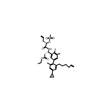 C=CCCCCc1cc(C2CC2)cc(C)c1-c1cc(C)c(F)c([C@H](CC(=O)OCC)NC(=O)[C@@H](CC=C)OS(C)(=O)=O)c1